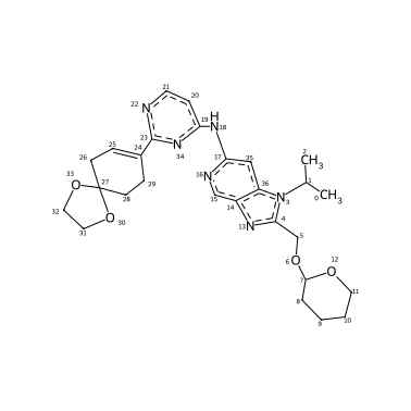 CC(C)n1c(COC2CCCCO2)nc2cnc(Nc3ccnc(C4=CCC5(CC4)OCCO5)n3)cc21